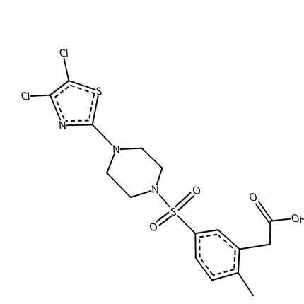 Cc1ccc(S(=O)(=O)N2CCN(c3nc(Cl)c(Cl)s3)CC2)cc1CC(=O)O